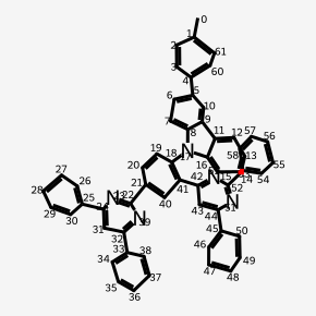 Cc1ccc(-c2ccc3c(c2)c2ccccc2n3-c2ccc(-c3nc(-c4ccccc4)cc(-c4ccccc4)n3)cc2-c2cc(-c3ccccc3)nc(-c3ccccc3)n2)cc1